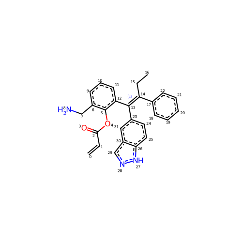 C=CC(=O)Oc1c(CN)cccc1/C(=C(\CC)c1ccccc1)c1ccc2[nH]ncc2c1